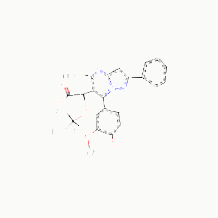 COc1cc(-c2c(C(OC(C)(C)C)C(=O)O)c(C)nc3cc(-c4ccccc4)nn23)ccc1O